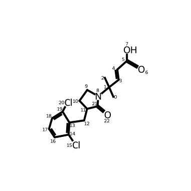 CC(C)(/C=C/C(=O)O)N1CCC(Cc2c(Cl)cccc2Cl)C1=O